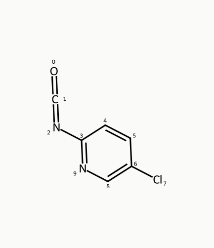 O=C=Nc1ccc(Cl)cn1